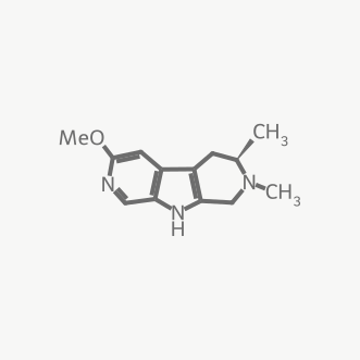 COc1cc2c3c([nH]c2cn1)CN(C)[C@H](C)C3